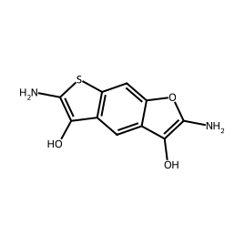 Nc1oc2cc3sc(N)c(O)c3cc2c1O